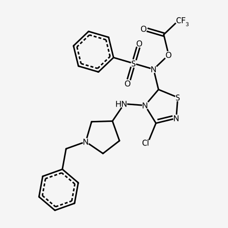 O=C(ON(C1SN=C(Cl)N1NC1CCN(Cc2ccccc2)C1)S(=O)(=O)c1ccccc1)C(F)(F)F